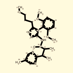 COCCCc1nnc(N[S+]([O-])C(C)C(C)c2ncc(C)cn2)n1-c1c(OC)cccc1OC